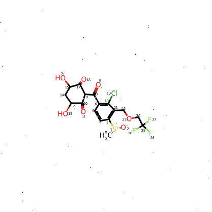 C[S+]([O-])c1ccc(C(=O)C2C(=O)C(O)CC(O)C2=O)c(Cl)c1COCC(F)(F)F